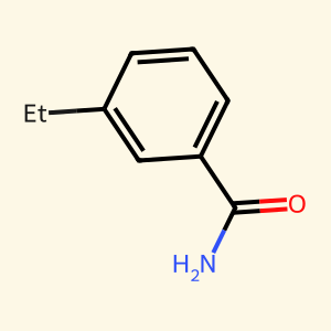 CCc1cccc(C(N)=O)c1